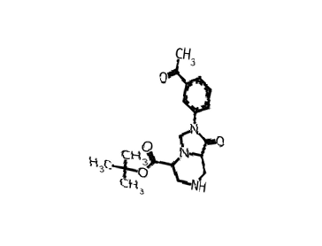 CC(=O)c1cccc(N2CN3C(C(=O)OC(C)(C)C)CNCC3C2=O)c1